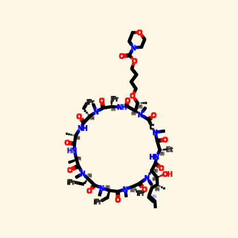 C/C=C/C[C@@H](C)[C@@H](O)[C@H]1C(=O)N[C@@H](CC)C(=O)N(C)CC(=O)N(C)[C@@H]([C@@H](C)OCCCCOC(=O)N2CCOCC2)C(=O)N[C@@H](C(C)C)C(=O)N(C)[C@@H](CC(C)C)C(=O)N[C@@H](C)C(=O)N[C@H](C)C(=O)N(C)[C@@H](CC(C)C)C(=O)N(C)[C@H](CC(C)C)C(=O)N(C)[C@@H](C(C)C)C(=O)N1C